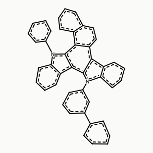 c1ccc(-c2cccc(-n3c4ccccc4c4c5ccc6ccccc6c5c5c(c6ccccc6n5-c5ccccc5)c43)c2)cc1